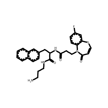 NCCCNC(=O)C(Cc1ccc2ccccc2c1)NC(=O)CCN1C(=O)C=CSc2cc(F)ccc21